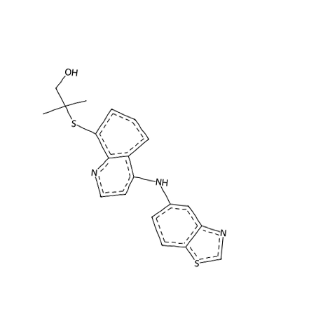 CC(C)(CO)Sc1cccc2c(Nc3ccc4scnc4c3)ccnc12